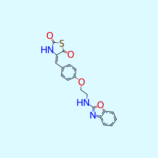 O=C1NC(=Cc2ccc(OCCNc3nc4ccccc4o3)cc2)C(=O)S1